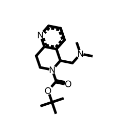 CN(C)CC1c2cccnc2CCN1C(=O)OC(C)(C)C